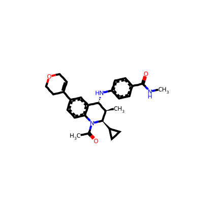 CNC(=O)c1ccc(N[C@H]2c3cc(C4=CCOCC4)ccc3N(C(C)=O)[C@H](C3CC3)[C@@H]2C)cc1